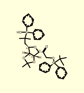 CC1(C)O[C@@H]2[C@H](O1)[C@@H](CC(C)(C)[Si](O)(c1ccccc1)c1ccccc1)O[C@@H]2C(=O)CO[Si](c1ccccc1)(c1ccccc1)C(C)(C)C